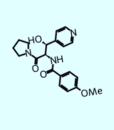 COc1ccc(C(=O)N[C@@H](C(=O)N2CCCC2)[C@@H](O)c2ccncc2)cc1